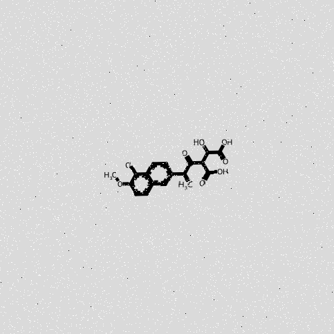 COc1ccc2cc(C(C)C(=O)C(C(=O)O)C(O)C(=O)O)ccc2c1Cl